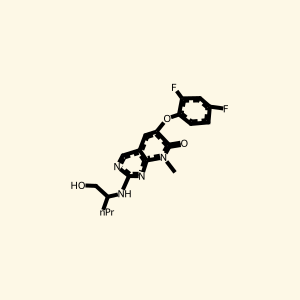 CCCC(CO)Nc1ncc2cc(Oc3ccc(F)cc3F)c(=O)n(C)c2n1